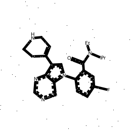 CCN(C(=O)c1cc(F)ccc1-n1cc(C2=CCNCC2)c2ncncc21)C(C)C